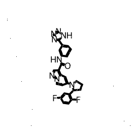 O=C(Nc1cccc(-c2nnn[nH]2)c1)c1cnn2ccc(N3CCCC3c3cc(F)ccc3F)cc12